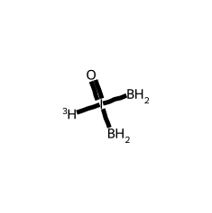 [3H]I(B)(B)=O